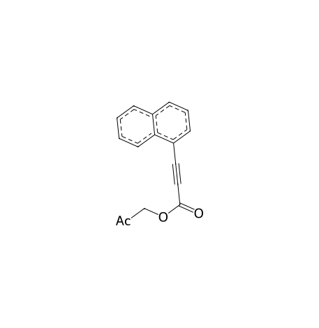 CC(=O)COC(=O)C#Cc1cccc2ccccc12